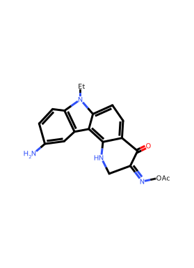 CCn1c2ccc(N)cc2c2c3c(ccc21)C(=O)/C(=N\OC(C)=O)CN3